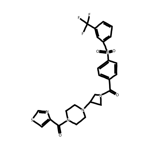 O=C(c1ccc(S(=O)(=O)c2cccc(C(F)(F)F)c2)cc1)N1CC(N2CCN(C(=O)c3cscn3)CC2)C1